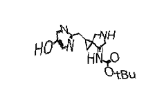 CC(C)(C)OC(=O)N[C@H]1CNCC12CC2Cc1ncc(O)cn1